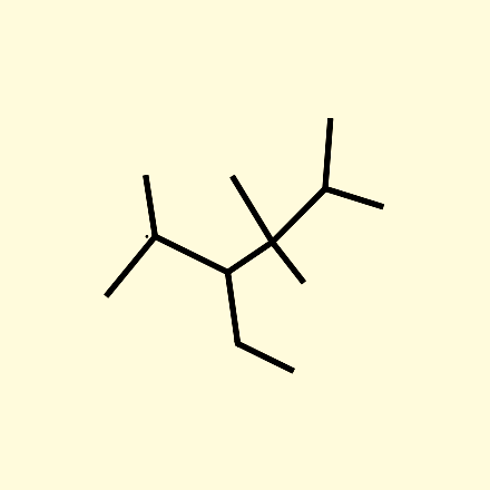 CCC([C](C)C)C(C)(C)C(C)C